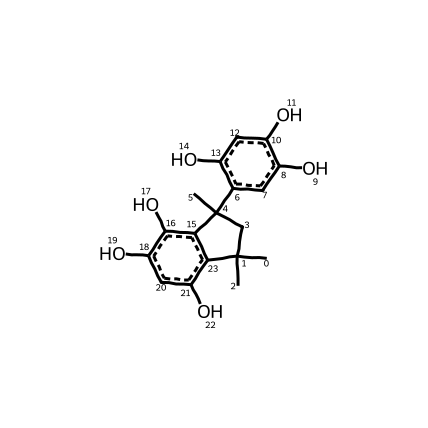 CC1(C)CC(C)(c2cc(O)c(O)cc2O)c2c(O)c(O)cc(O)c21